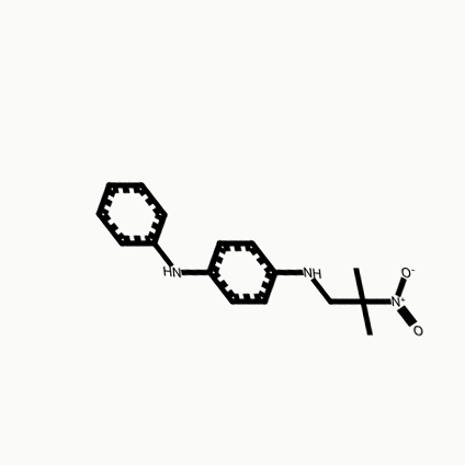 CC(C)(CNc1ccc(Nc2ccccc2)cc1)[N+](=O)[O-]